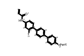 C=CC(=O)Nc1ccc(-c2ccc(-c3ccc(CCCCC)cc3)cc2)c(F)c1